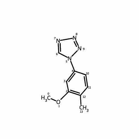 COc1cc(-n2cnnn2)ccc1C